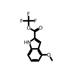 COc1cccc2[nH]c(C(=O)OC(F)(F)F)cc12